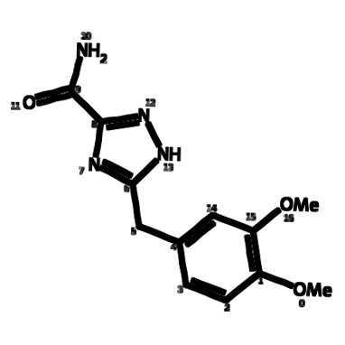 COc1ccc(Cc2nc(C(N)=O)n[nH]2)cc1OC